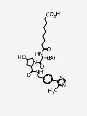 Cc1ncsc1-c1ccc(CNC(=O)C2CC(O)CN2C(=O)[C@@H](NC(=O)CCCCCCCC(=O)O)C(C)(C)C)cc1